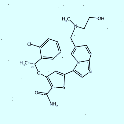 C[C@@H](Oc1cc(-c2cnc3ccc(CN(C)CCO)cn23)sc1C(N)=O)c1ccccc1Cl